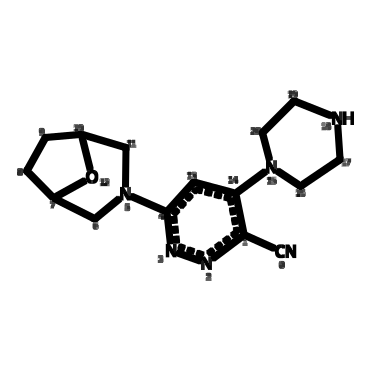 N#Cc1nnc(N2CC3CCC(C2)O3)cc1N1CCNCC1